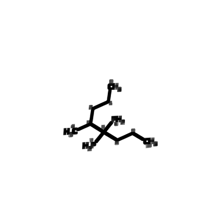 CCCC(C)C(P)(P)CCC